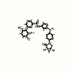 C[C@@H](c1ccc(N2C[C@H]3C[C@H]3C2=O)nc1)n1cc(NC(=O)c2cncc(-c3c(C#N)ccc(Cl)c3F)n2)cn1